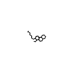 CC(C=O)CCC[C@@H](C)[C@H]1CC[C@H]2[C@@H]3[C@H](O)CC4C[C@H](O)CC[C@]4(C)[C@H]3C[C@H](O)[C@]12C